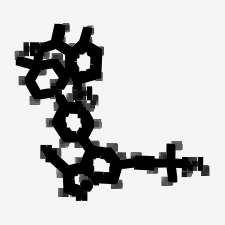 Bc1ccc(C)c(C(=C)NC2(C)CCN(c3ccc(-c4cc(C#CC(C)(C)N)cn5ncc(C#N)c45)cn3)CC2)c1